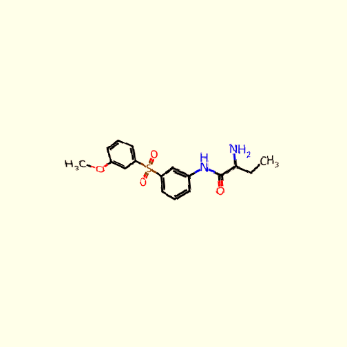 CCC(N)C(=O)Nc1cccc(S(=O)(=O)c2cccc(OC)c2)c1